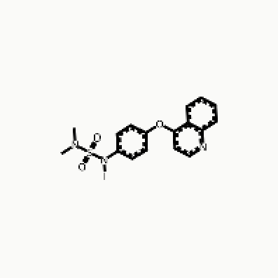 CN(C)S(=O)(=O)N(I)c1ccc(Oc2ccnc3ccccc23)cc1